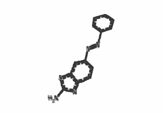 Nc1nc2ccc(N=Nc3ccccc3)cc2s1